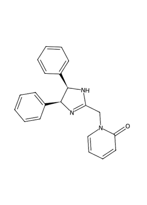 O=c1ccccn1CC1=N[C@@H](c2ccccc2)[C@@H](c2ccccc2)N1